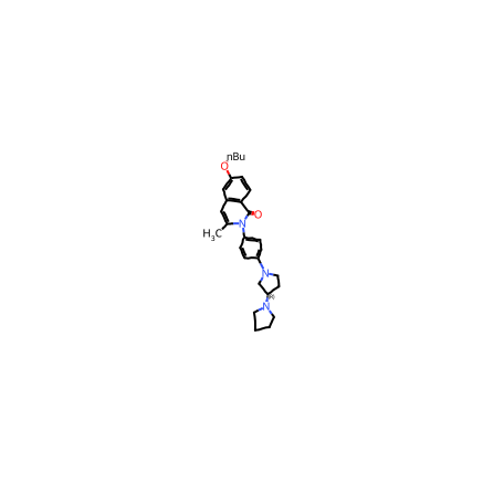 CCCCOc1ccc2c(=O)n(-c3ccc(N4CC[C@@H](N5CCCC5)C4)cc3)c(C)cc2c1